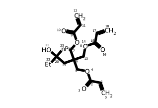 C=CC(=O)OCC(COC(=O)C=C)(COC(=O)C=C)CC(O)(CC)CCC